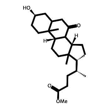 COC(=O)CC[C@@H](C)[C@H]1CC[C@H]2C3C(=O)CC4C[C@H](O)CCC4(C)[C@H]3CCC12C